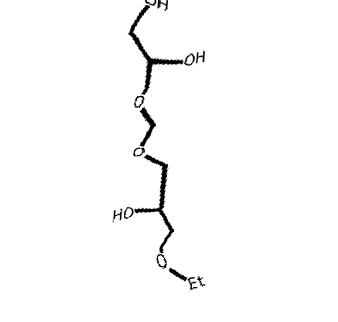 CCOCC(O)COCOC(O)CO